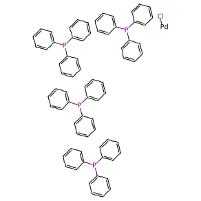 [Cl][Pd].c1ccc(P(c2ccccc2)c2ccccc2)cc1.c1ccc(P(c2ccccc2)c2ccccc2)cc1.c1ccc(P(c2ccccc2)c2ccccc2)cc1.c1ccc(P(c2ccccc2)c2ccccc2)cc1